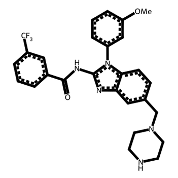 COc1cccc(-n2c(NC(=O)c3cccc(C(F)(F)F)c3)nc3cc(CN4CCNCC4)ccc32)c1